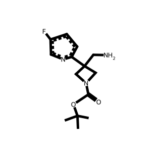 CC(C)(C)OC(=O)N1CC(CN)(c2ccc(F)cn2)C1